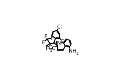 CC1(C(c2ccc(Cl)cc2F)C2(C(F)(F)F)CO2)C=Cc2c(N)cccc2N1